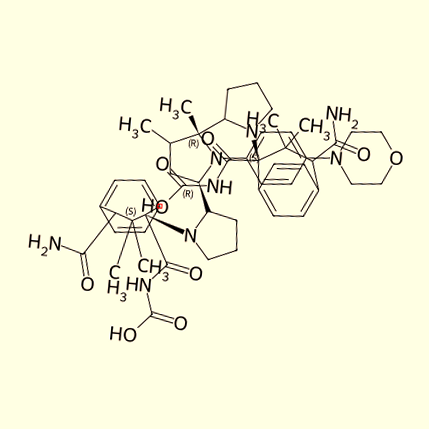 CC1C[C@H](C2CCCN2[C@]2(C(=O)NC(=O)O)c3ccc(cc3)C(C(N)=O)C2(C)C)N(c2ccc(N3CCOCC3)cc2)[C@@]1(C)C1CCCN1[C@]1(C(=O)NC(=O)O)c2ccc(cc2)C(C(N)=O)C1(C)C